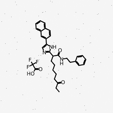 CCC(=O)CCCCCC(C(=O)NCCc1ccccc1)c1ncc(-c2ccc3ccccc3c2)[nH]1.O=C(O)C(F)(F)F